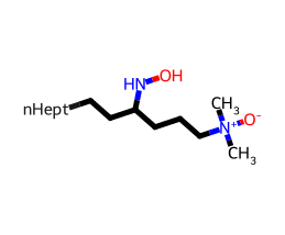 CCCCCCCCCC(CCC[N+](C)(C)[O-])NO